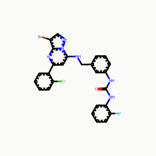 O=C(Nc1cccc(CNc2cc(-c3ccccc3Cl)nc3c(Br)cnn23)c1)Nc1ccccc1F